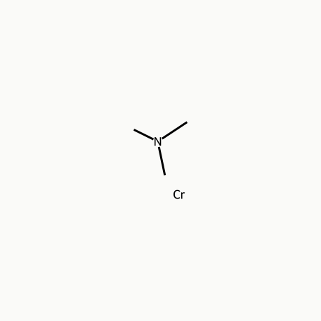 CN(C)C.[Cr]